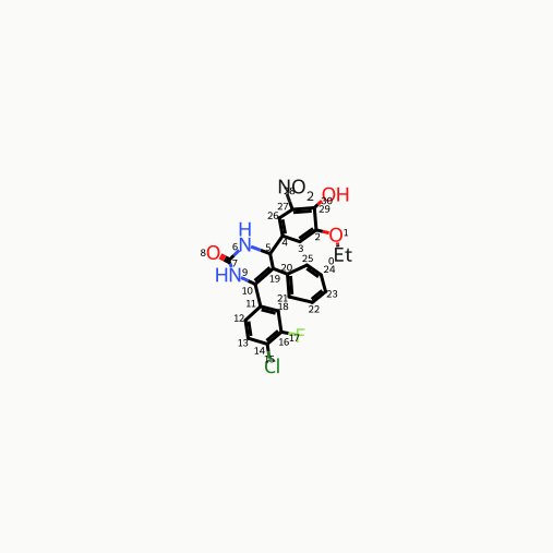 CCOc1cc(C2NC(=O)NC(c3ccc(Cl)c(F)c3)=C2c2ccccc2)cc([N+](=O)[O-])c1O